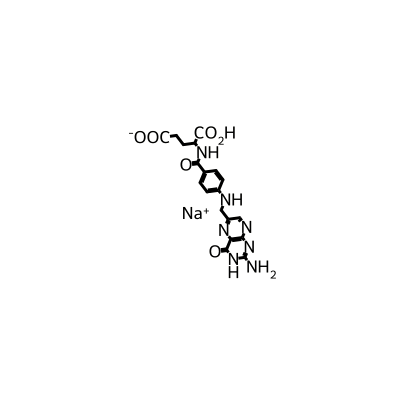 Nc1nc2ncc(CNc3ccc(C(=O)NC(CCC(=O)[O-])C(=O)O)cc3)nc2c(=O)[nH]1.[Na+]